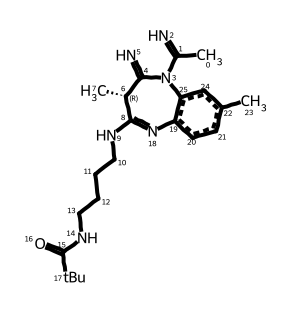 CC(=N)N1C(=N)[C@@H](C)C(NCCCCNC(=O)C(C)(C)C)=Nc2ccc(C)cc21